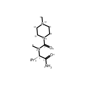 CC(C)[C@@H](C(N)=O)N(C)C(=O)N1CCN(C)CC1